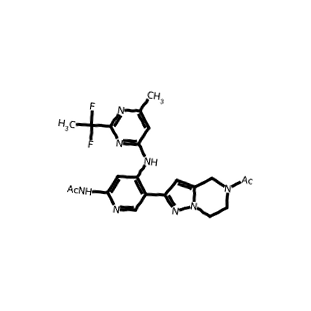 CC(=O)Nc1cc(Nc2cc(C)nc(C(C)(F)F)n2)c(-c2cc3n(n2)CCN(C(C)=O)C3)cn1